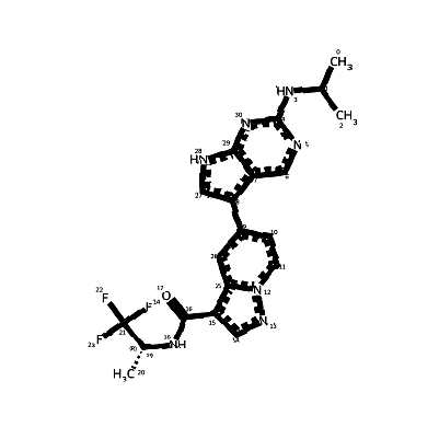 CC(C)Nc1ncc2c(-c3ccn4ncc(C(=O)N[C@H](C)C(F)(F)F)c4c3)c[nH]c2n1